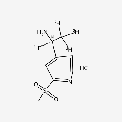 Cl.[2H]C([2H])([2H])[C@]([2H])(N)c1ccnc(S(C)(=O)=O)c1